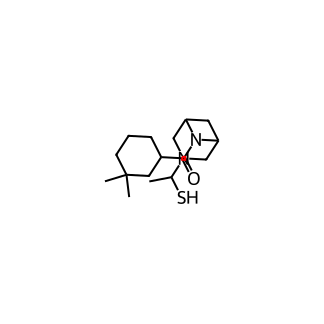 CC(S)N1CC2CC(C1)N2C(=O)C1CCCC(C)(C)C1